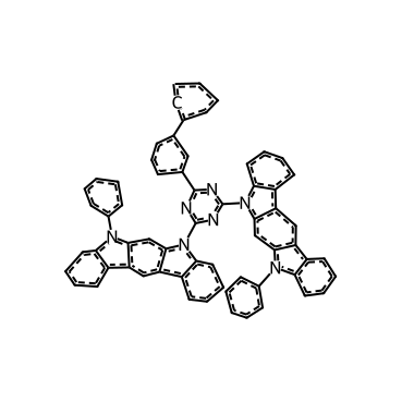 c1ccc(-c2cccc(-c3nc(-n4c5ccccc5c5cc6c7ccccc7n(-c7ccccc7)c6cc54)nc(-n4c5ccccc5c5cc6c7ccccc7n(-c7ccccc7)c6cc54)n3)c2)cc1